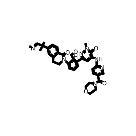 C/N=C/C(C)(C)c1ccc2c(c1)CCN(c1cccc(-c3cc(Nc4ccc(C(=O)N5CCOCC5)cn4)c(=O)n(C)n3)c1CO)C2=O